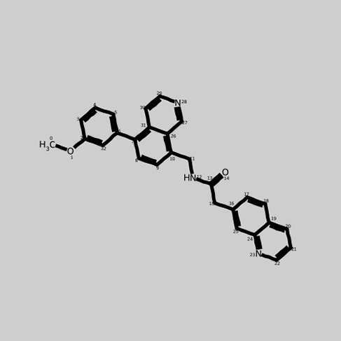 COc1cccc(-c2ccc(CNC(=O)Cc3ccc4cccnc4c3)c3cnccc23)c1